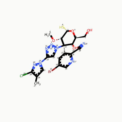 CO[C@@H]1[C@H](S)O[C@@H](CO)[C@@H](O)[C@@]1(c1cc(Br)cnc1C#N)n1cc(-n2cc(C)c(Cl)n2)nn1